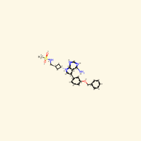 CS(=O)(=O)NC[C@H]1C[C@H](n2cc(-c3cccc(OCc4ccccc4)c3)c3c(N)ncnc32)C1